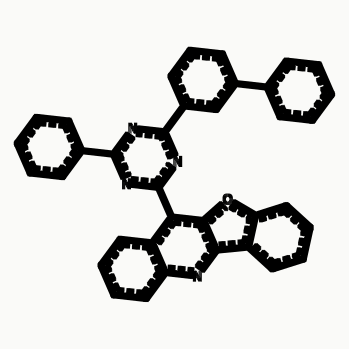 c1ccc(-c2cccc(-c3nc(-c4ccccc4)nc(-c4c5ccccc5nc5c4oc4ccccc45)n3)c2)cc1